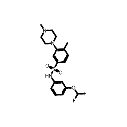 Cc1ccc(S(=O)(=O)Nc2cccc(OC(F)F)c2)cc1N1CCN(C)CC1